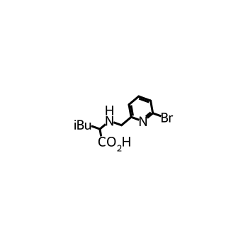 CCC(C)C(NCc1cccc(Br)n1)C(=O)O